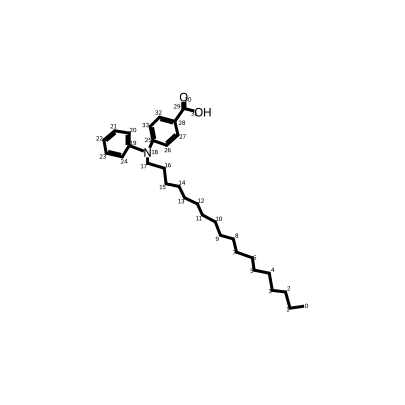 CCCCCCCCCCCCCCCCCCN(c1ccccc1)c1ccc(C(=O)O)cc1